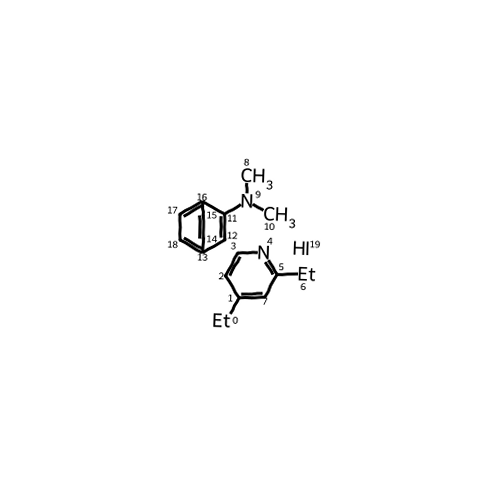 CCc1ccnc(CC)c1.CN(C)c1cc2ccc1cc2.I